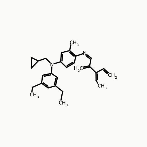 C=C/C(=C\C)C(=C)/C=N\c1ccc(N(CC2CC2)c2cc(CC)cc(CC)c2)cc1C